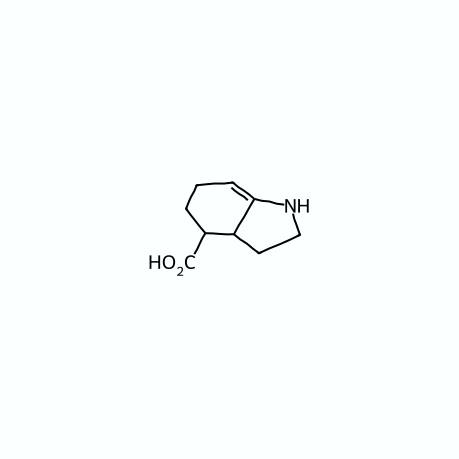 O=C(O)C1CCC=C2NCCC21